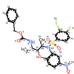 C[C@H](NC(=O)OCc1ccccc1)[C@@H]1Oc2ccc([N+](=O)[O-])cc2N(S(=O)(=O)c2ccc(F)c(F)c2)[C@@H]1C